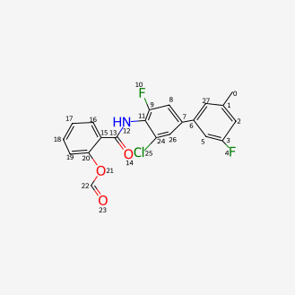 Cc1cc(F)cc(-c2cc(F)c(NC(=O)c3ccccc3OC=O)c(Cl)c2)c1